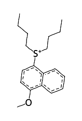 CCCC[S+](CCCC)c1ccc(OC)c2ccccc12